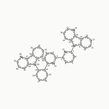 c1cc(-c2cccc(-n3c4ccccc4c4ncccc43)n2)nc(-c2ccccc2-n2c3ccccc3c3ncccc32)c1